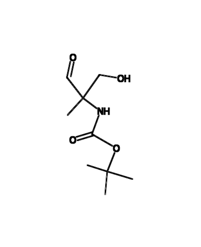 CC(C=O)(CO)NC(=O)OC(C)(C)C